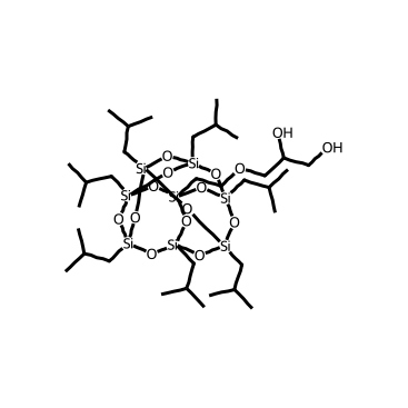 CC(C)C[Si]12O[Si]3(CCOCC(O)CO)O[Si]4(CC(C)C)O[Si](CC(C)C)(O1)O[Si]1(CC(C)C)O[Si](CC(C)C)(O2)O[Si](CC(C)C)(O3)O[Si](CC(C)C)(O4)O1